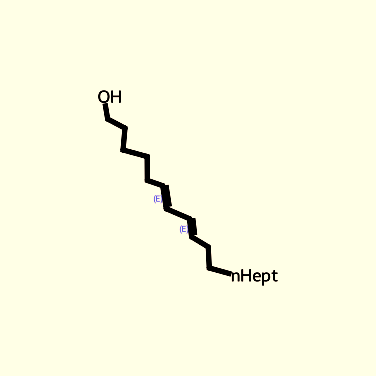 CCCCCCCCC/C=C/C=C/CCCCCO